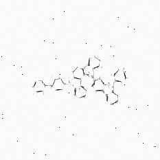 c1ccc(-c2ccc(-n3c4ccccc4c4c3ccc3c5ccccc5n(-c5ccc6c7ccccc7n(-c7ccccc7)c6c5)c34)cc2)cc1